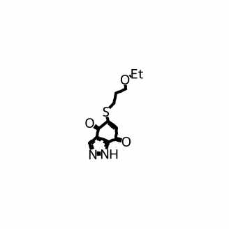 CCOCCCSC1=CC(=O)c2[nH]ncc2C1=O